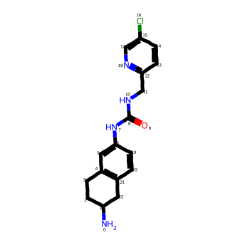 NC1CCc2cc(NC(=O)NCc3ccc(Cl)cn3)ccc2C1